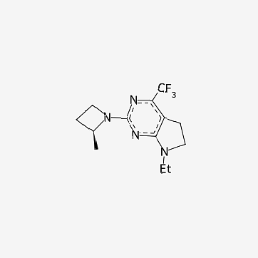 CCN1CCc2c1nc(N1CC[C@@H]1C)nc2C(F)(F)F